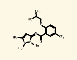 CCCCn1c(=NC(=O)c2cc(C(F)(F)F)ccc2SCC(C)O)cc(C(C)(C)C)n1C